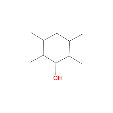 CC1CC(C)C(C)C(O)C1C